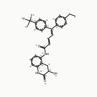 CCc1ccc(C(=CC=CC(=O)Nc2cccc3c2CC(O)C(=O)N3)c2ccc(C(F)(F)F)cc2)cc1